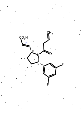 C=CCC(=O)N1[C@@H](/C=C/C(=O)O)CC[C@H]1c1cc(F)cc(F)c1